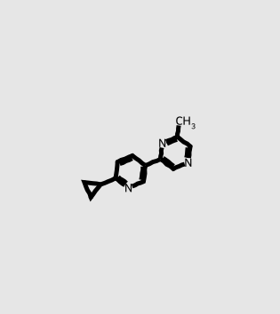 Cc1cncc(-c2ccc(C3CC3)nc2)n1